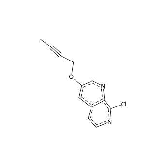 CC#CCOc1cnc2c(Cl)nccc2c1